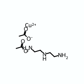 CC(=O)[O-].CC(=O)[O-].NCCNCCN.[Cu+2]